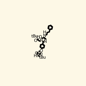 CC(C)(C)NS(=O)(=O)COc1ccc(-c2ncc(NCCCc3ccccc3)c(=O)n2CC(=O)OC(C)(C)C)cc1